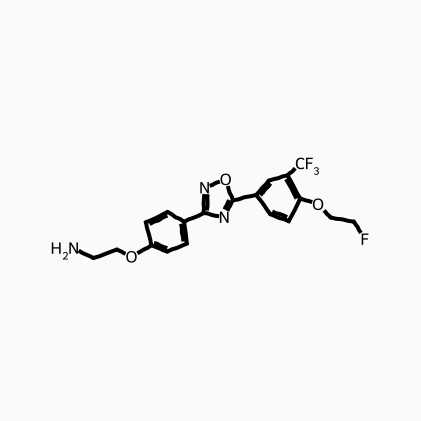 NCCOc1ccc(-c2noc(-c3ccc(OCCF)c(C(F)(F)F)c3)n2)cc1